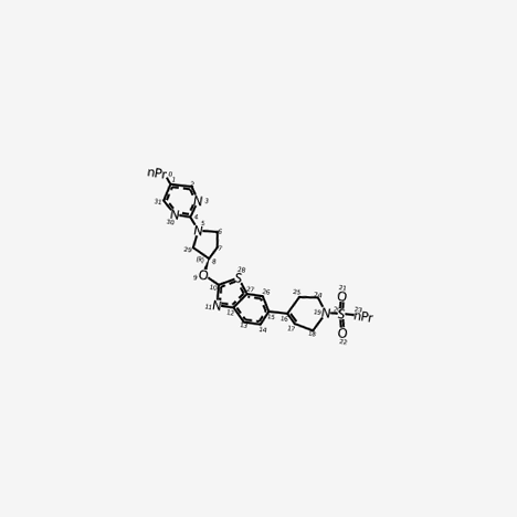 CCCc1cnc(N2CC[C@@H](Oc3nc4ccc(C5=CCN(S(=O)(=O)CCC)CC5)cc4s3)C2)nc1